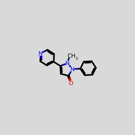 Cn1c(-c2ccncc2)cc(=O)n1-c1ccccc1